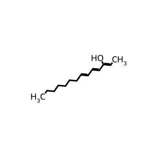 CC=C(O)C=CC=CCCCCCCC